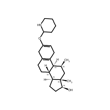 C[C@H]1C[C@]2(C)[C@@H](O)CC[C@H]2[C@@H]2CCC3=C(CC=C(OC4CCCCN4)C3)[C@H]21